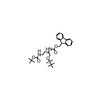 CC(C)(C)OC(=O)NCC[C@H](CO[Si](C)(C)C(C)(C)C)NC(=O)OCC1c2ccccc2-c2ccccc21